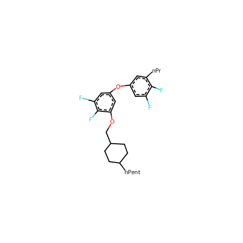 CCCCCC1CCC(COc2cc(Oc3cc(F)c(F)c(CCC)c3)cc(F)c2F)CC1